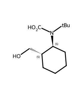 CC(C)(C)N(C(=O)O)[C@H]1CCCC[C@@H]1CO